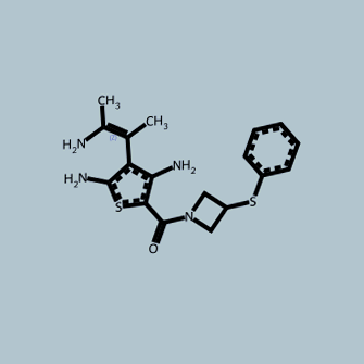 C/C(N)=C(\C)c1c(N)sc(C(=O)N2CC(Sc3ccccc3)C2)c1N